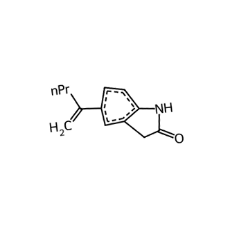 C=C(CCC)c1ccc2c(c1)CC(=O)N2